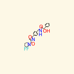 O=C(NCc1ccc(-c2nc(C(=O)N3CCCC(F)(F)C3)co2)cc1)C(O)c1ccccc1